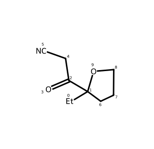 CCC1(C(=O)CC#N)CCCO1